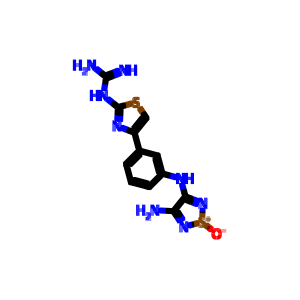 N=C(N)Nc1nc(-c2cccc(Nc3n[s+]([O-])nc3N)c2)cs1